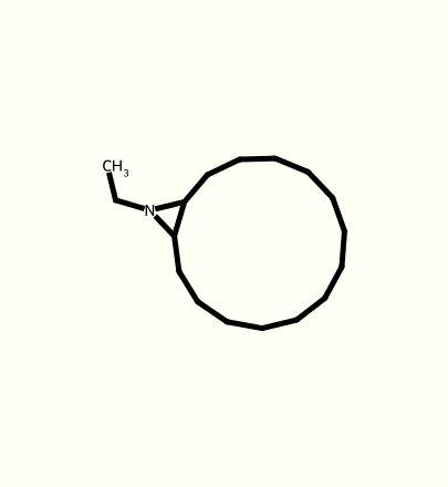 CCN1C2CCCCCCCCCCCCCC21